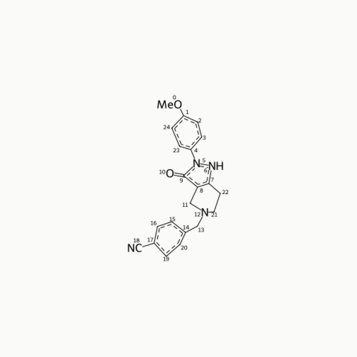 COc1ccc(-n2[nH]c3c(c2=O)CN(Cc2ccc(C#N)cc2)CC3)cc1